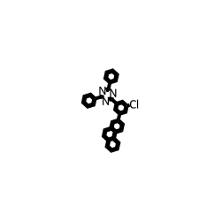 Clc1cc(-c2ccc3c(ccc4ccccc43)c2)cc(-c2nc(-c3ccccc3)nc(-c3ccccc3)n2)c1